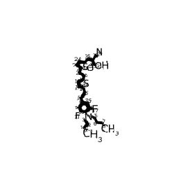 CCCCN(CCCC)c1c(F)cc(/C=C/c2ccc(/C=C/c3ccc(C=C(C#N)C(=O)O)s3)s2)cc1F